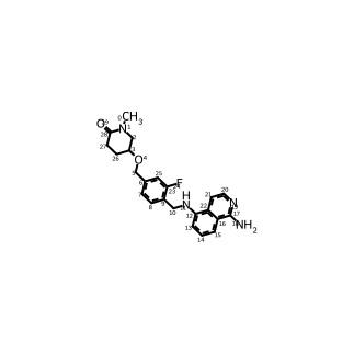 CN1CC(OCc2ccc(CNc3cccc4c(N)nccc34)c(F)c2)CCC1=O